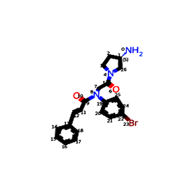 N[C@H]1CCN(C(=O)CN(C(=O)C=Cc2ccccc2)c2ccc(Br)cc2)C1